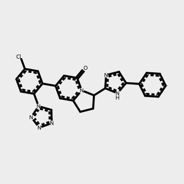 O=c1cc(-c2cc(Cl)ccc2-n2cnnn2)cc2n1C(c1ncc(-c3cc[c]cc3)[nH]1)CC2